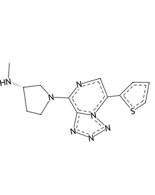 CN[C@H]1CCN(c2ncc(-c3cccs3)n3nnnc23)C1